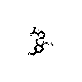 COc1ccc(C=O)cc1CN1CCCC1C(N)=O